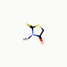 CCCN1C(=O)CSC1=S